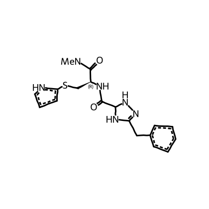 CNC(=O)[C@H](CSc1ccc[nH]1)NC(=O)C1NN=C(Cc2ccccc2)N1